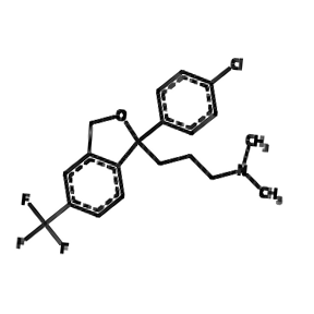 CN(C)CCCC1(c2ccc(Cl)cc2)OCc2cc(C(F)(F)F)ccc21